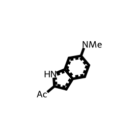 CNc1ccc2cc(C(C)=O)[nH]c2c1